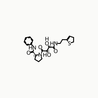 O=C(NCCC1=CCCS1)[C@H](O)[C@@H](O)C(=O)N1CCC[C@H]1C(=O)Nc1ccccc1